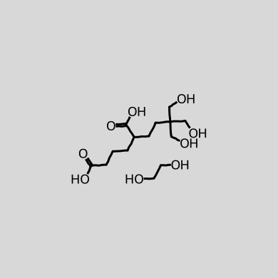 O=C(O)CCCC(CCC(CO)(CO)CO)C(=O)O.OCCO